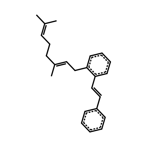 CC(C)=CCC/C(C)=C/Cc1ccccc1C=Cc1ccccc1